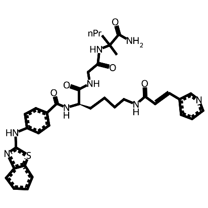 CCCC(C)(NC(=O)CNC(=O)[C@@H](CCCCNC(=O)/C=C/c1cccnc1)NC(=O)c1ccc(Nc2nc3ccccc3s2)cc1)C(N)=O